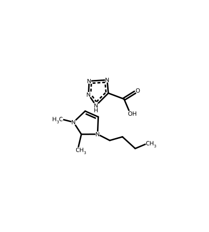 CCCCN1C=CN(C)C1C.O=C(O)c1nnn[nH]1